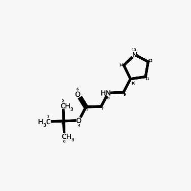 CC(C)(C)OC(=O)CNCC1CC[N]C1